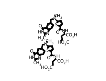 Cc1nc2ccc(CN(C)c3ccc(C(=O)N[C@@H](CCC(=O)O)C(=O)O)s3)cc2c(=O)[nH]1.Cc1nc2ccc(CN(C)c3ccc(C(=O)N[C@@H](CCC(=O)O)C(=O)O)s3)cc2c(=O)[nH]1